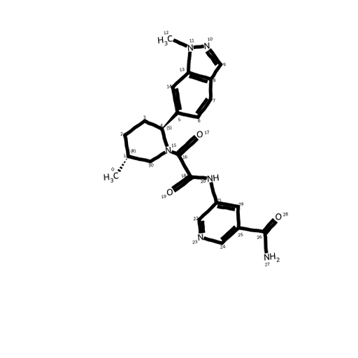 C[C@@H]1CC[C@@H](c2ccc3cnn(C)c3c2)N(C(=O)C(=O)Nc2cncc(C(N)=O)c2)C1